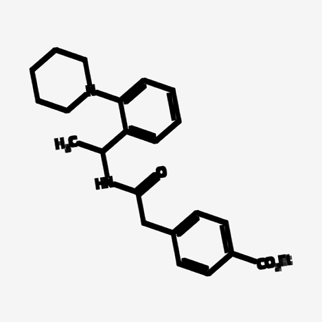 CCOC(=O)c1ccc(CC(=O)NC(C)c2ccccc2N2CCCCC2)cc1